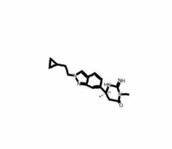 CN1C(=N)N[C@](C)(c2ccc3cn(CCC4CC4)nc3c2)CC1=O